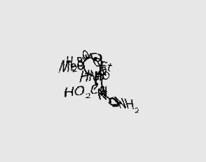 B[C@@H]1[C@@H](C)C(=O)[C@@H](C)C(=O)O[C@H](CC)[C@@]2(C)OC(=O)N(CCCCn3cc(-c4cccc(N)c4)nn3)[C@@H]2[C@@H](C/C=C/C(=O)O)NC[C@H](C)C[C@@]1(C)OC